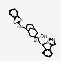 CCC1([C@H](O)C[C@@H]2c3ccccc3-c3cncn32)CC2CCC(Nc3nc4ccccc4o3)C(C2)C1